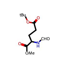 COC(=O)C(CCC(=O)OC(C)(C)C)NC=O